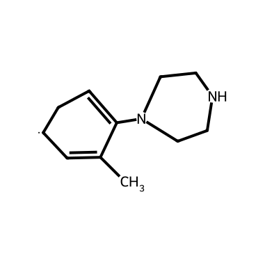 CC1=C[CH]CC=C1N1CCNCC1